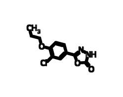 CCCOc1ccc(-c2n[nH]c(=O)o2)cc1Cl